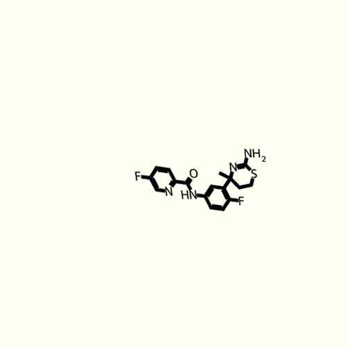 CC1(c2cc(NC(=O)c3ccc(F)cn3)ccc2F)CCSC(N)=N1